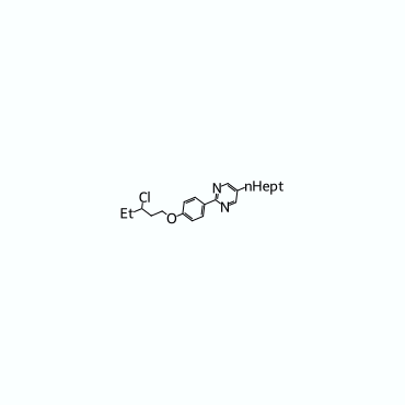 CCCCCCCc1cnc(-c2ccc(OCCC(Cl)CC)cc2)nc1